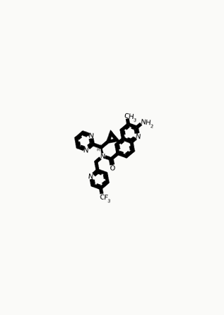 Cc1cc2cc(C(=O)N(Cc3ccc(C(F)(F)F)cn3)[C@@H](c3ncccn3)C3CC3)ccc2nc1N